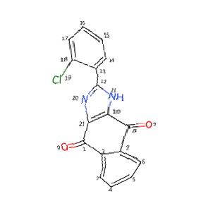 O=C1c2ccccc2C(=O)c2[nH]c(-c3ccccc3Cl)nc21